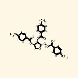 Cc1ccc(C(=O)OC[C@@H]2OC[C@@H](OC(=O)c3ccc(C)cc3)[C@H]2OC(=O)c2ccc(C)cc2)cc1